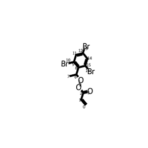 C=CC(=O)OOC(C)c1c(Br)cc(Br)cc1Br